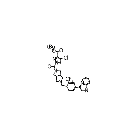 CC(C)(C)OC(=O)c1nn(C(=O)N2CC3CN(CC4CC=C(c5cnc6ccccn56)C=C4C(F)(F)F)CC3C2)cc1Cl